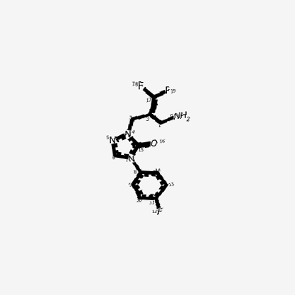 NCC(Cn1ncn(-c2ccc(F)cc2)c1=O)=C(F)F